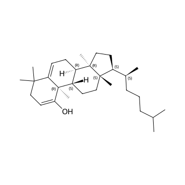 CC(C)CCC[C@H](C)[C@@H]1CC[C@]2(C)[C@@H]3CC=C4C(C)(C)CC=C(O)[C@]4(C)[C@H]3CC[C@@]12C